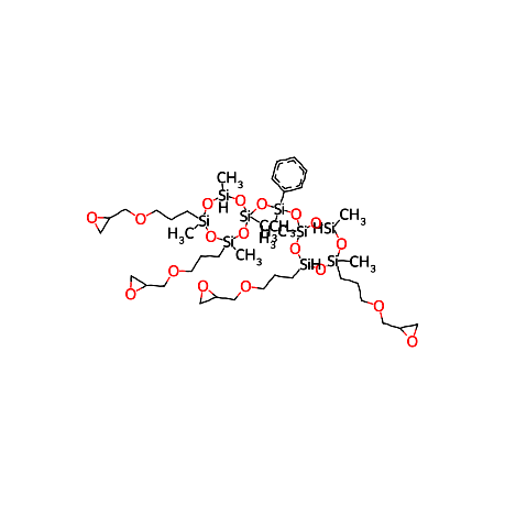 C[SiH]1O[Si](C)(CCCOCC2CO2)O[SiH](CCCOCC2CO2)O[Si](C)(O[Si](C)(O[Si]2(C)O[SiH](C)O[Si](C)(CCCOCC3CO3)O[Si](C)(CCCOCC3CO3)O2)c2ccccc2)O1